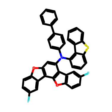 Fc1ccc2oc3c(c(N(c4ccc(-c5ccccc5)cc4)c4cccc5sc6ccccc6c45)cc4oc5ccc(F)cc5c43)c2c1